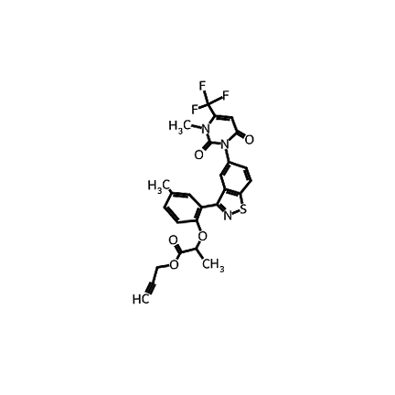 C#CCOC(=O)C(C)Oc1ccc(C)cc1-c1nsc2ccc(-n3c(=O)cc(C(F)(F)F)n(C)c3=O)cc12